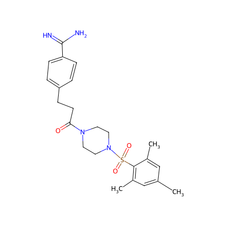 Cc1cc(C)c(S(=O)(=O)N2CCN(C(=O)CCc3ccc(C(=N)N)cc3)CC2)c(C)c1